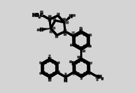 Nc1cc(Nc2cnccn2)nc(-c2ccnc(N3C[C@@H]4C[C@H]3CN4C(=O)O)c2)c1